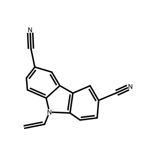 C=Cn1c2ccc(C#N)cc2c2cc(C#N)ccc21